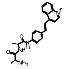 C[C@H](N)C(=O)N[C@@H](C)C(=O)Nc1ccc(C=Cc2cc[n+](C)c3ccccc23)cc1